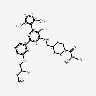 CNCC(O)COc1cccc(-c2nc(NCC3CCN(C(=O)N(C)C)CC3)c(C)c(-c3c(C)noc3C)n2)c1